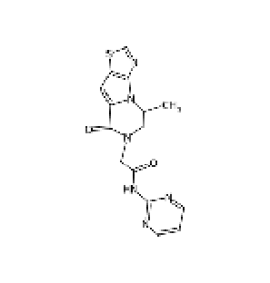 CC1CN(CC(=O)Nc2ncccn2)C(=O)c2cc3scnc3n21